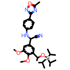 COc1cc(C(C#N)Nc2ccc(-c3noc(C)n3)cc2)cc(C(C)O[Si](C(C)C)(C(C)C)C(C)C)c1OC